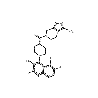 Cc1nc2ccc(F)c(F)c2c(N2CCC(C(=O)N3CCn4c(nnc4C(F)(F)F)C3)CC2)c1C#N